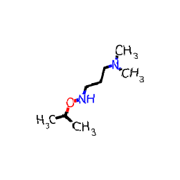 CC(C)ONCCCN(C)C